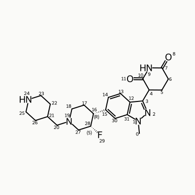 Cn1nc(C2CCC(=O)NC2=O)c2ccc([C@H]3CCN(CC4CCNCC4)C[C@H]3F)cc21